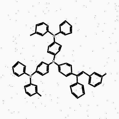 Cc1cccc(/C=C(\c2ccccc2)c2ccc(N(c3ccc(N(c4ccccc4)c4cccc(C)c4)cc3)c3ccc(N(c4ccccc4)c4cccc(C)c4)cc3)cc2)c1